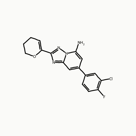 Nc1cc(-c2ccc(F)c(Cl)c2)cc2nc(C3=CCCCO3)nn12